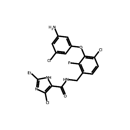 CCc1nc(Cl)c(C(=O)NCc2ccc(Cl)c(Oc3cc(N)cc(Cl)c3)c2F)[nH]1